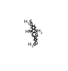 CCOc1ccc(N)c(C(=N)C2=CC=NC(N3CC(OC)C3)=CC2)c1